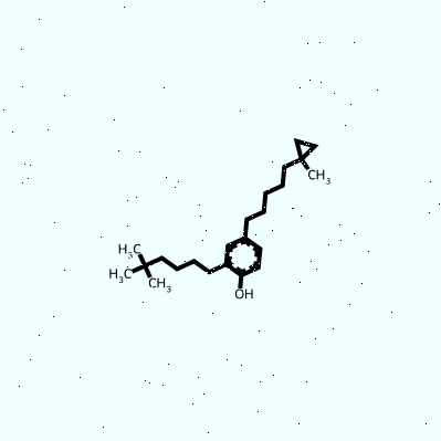 CC(C)(C)CCCCc1cc(CCCCCC2(C)CC2)ccc1O